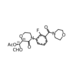 CC(=O)O[C@H](C=O)[C@H]1OCCN(c2cccc(C(=O)N3CCOCC3)c2F)C1=O